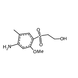 COc1cc(N)c(C)cc1S(=O)(=O)CCO